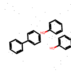 Oc1ccccc1.Oc1ccccc1.c1ccc(-c2ccccc2)cc1